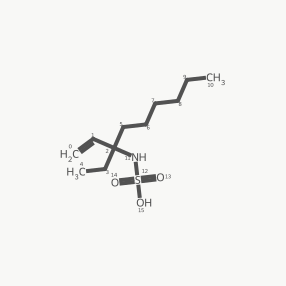 C=CC(CC)(CCCCCC)NS(=O)(=O)O